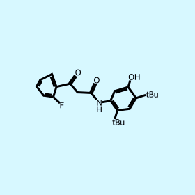 CC(C)(C)c1cc(C(C)(C)C)c(NC(=O)CC(=O)c2ccccc2F)cc1O